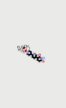 CC(C)(C)OC(=O)N1CCC(c2ccc(C3CCC(=O)NC3=O)cn2)CC1